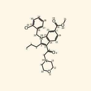 CCCc1c(C(=O)CN2CCOCC2)c2ccc(C(=O)OC)cc2n1Cc1ccccc1Cl